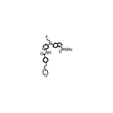 CNC(=O)n1ccc2cc(N(CCF)c3ccnc(NC(=O)c4ccc(CCN5CCOCC5)cc4)c3)ccc21